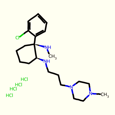 CN[C@]1(c2ccccc2Cl)CCCC[C@@H]1NCCCN1CCN(C)CC1.Cl.Cl.Cl.Cl